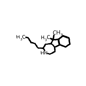 CCCCCC1CC2C(CCN1)C1CCCCC1C2(C)C